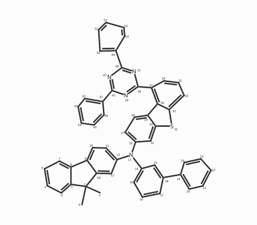 CC1(C)c2ccccc2-c2ccc(N(c3cccc(-c4ccccc4)c3)c3ccc4c(c3)sc3cccc(-c5nc(-c6ccccc6)nc(-c6ccccc6)n5)c34)cc21